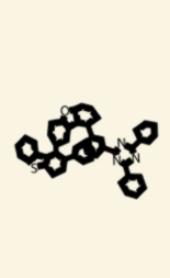 c1ccc(-c2nc(-c3ccccc3)nc(-c3cccc(-c4cccc5oc6ccc(-c7c(-c8ccccc8)ccc8sc9ccccc9c78)cc6c45)c3)n2)cc1